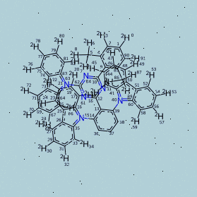 [2H]c1c([2H])c(C([2H])([2H])[2H])c(-c2nc(-c3c(-n4c5c([2H])c([2H])c([2H])c([2H])c5c5c([2H])c([2H])c([2H])c([2H])c54)cccc3-n3c4c([2H])c([2H])c([2H])c([2H])c4c4c([2H])c([2H])c([2H])c([2H])c43)nc(-n3c4c([2H])c([2H])c([2H])c([2H])c4c4c([2H])c([2H])c([2H])c([2H])c43)n2)c(C([2H])([2H])[2H])c1[2H]